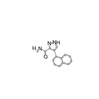 NC(=O)c1n[nH]cc1-c1cccc2ccccc12